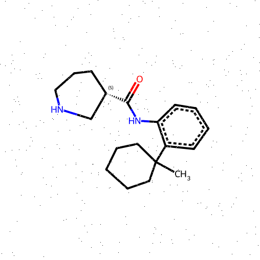 CC1(c2ccccc2NC(=O)[C@H]2CCCNC2)CCCCC1